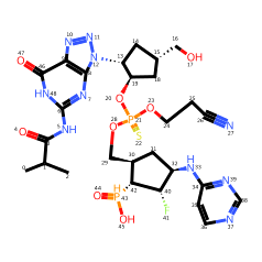 CC(C)C(=O)Nc1nc2c(nnn2[C@@H]2C[C@H](CO)C[C@H]2OP(=S)(OCCC#N)OC[C@H]2C[C@@H](Nc3ccncn3)[C@H](F)[C@@H]2[PH](=O)O)c(=O)[nH]1